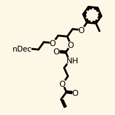 C=CC(=O)OCCNC(=O)OC(COCCCCCCCCCCCC)COc1ccccc1C